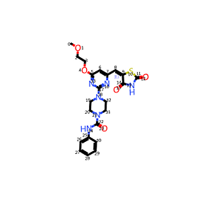 COCCOc1cc(/C=C2/SC(=O)NC2=O)nc(N2CCN(C(=O)Nc3ccccc3)CC2)n1